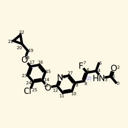 CC(=O)NC(C)/C(F)=C/c1ccc(Oc2ccc(OCC3CC3)cc2Cl)nc1